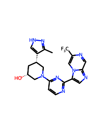 Cc1n[nH]cc1[C@H]1C[C@@H](O)CN(c2ccnc(-c3cnc4cnc(C(F)(F)F)cn34)n2)C1